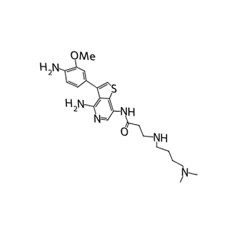 COc1cc(-c2csc3c(NC(=O)CCNCCCCN(C)C)cnc(N)c23)ccc1N